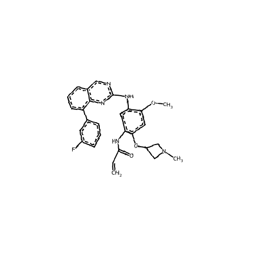 C=CC(=O)Nc1cc(Nc2ncc3cccc(-c4cccc(F)c4)c3n2)c(OC)cc1OC1CN(C)C1